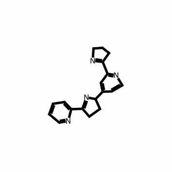 c1ccc(C2=NC(c3ccnc(C4=NCCC4)c3)CC2)nc1